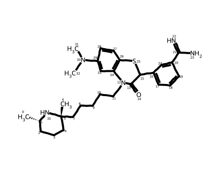 C[C@H]1CCC[C@@](C)(CCCCCN2C(=O)C(c3cccc(C(=N)N)c3)Sc3ccc(N(C)C)cc32)N1